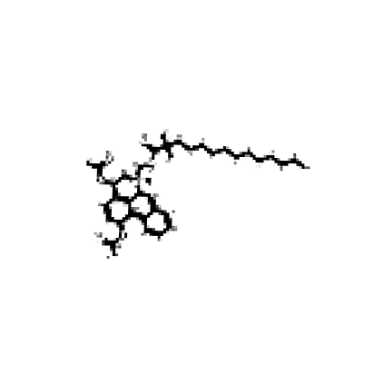 CCCCCCCCCCCCC(C)(C)C(=O)OC[N+]1(C)CC(OC(C)=O)C2=C3C(=c4ccccc4=CC31)C(OC(C)=O)C=C2